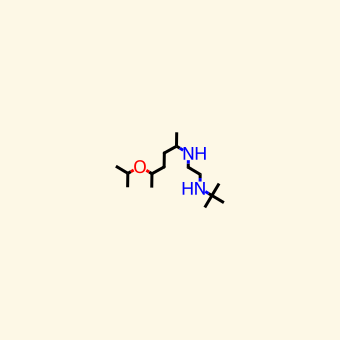 CC(CCC(C)OC(C)C)NCCNC(C)(C)C